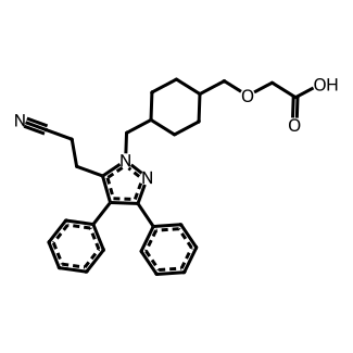 N#CCCc1c(-c2ccccc2)c(-c2ccccc2)nn1CC1CCC(COCC(=O)O)CC1